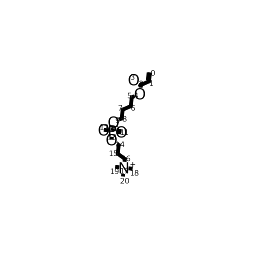 C=CC(=O)OCCCCOP(=O)([O-])OCCC[N+](C)(C)C